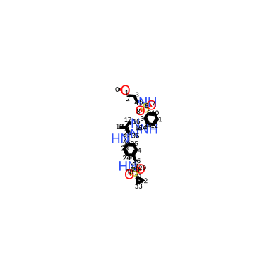 COCCCNS(=O)(=O)c1cccc(Nc2ncc(C)c(Nc3ccc(CNS(=O)(=O)C4CC4)cc3)n2)c1